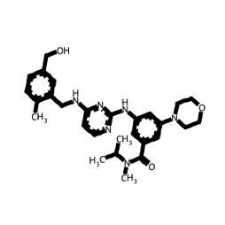 Cc1ccc(CO)cc1CNc1ccnc(Nc2cc(C(=O)N(C)C(C)C)cc(N3CCOCC3)c2)n1